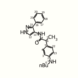 CCCCNc1ccc(C(C)C(=O)Nc2c[nH]nc2-c2ccccc2)cc1